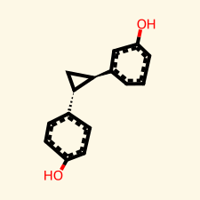 Oc1ccc([C@@H]2C[C@H]2c2cccc(O)c2)cc1